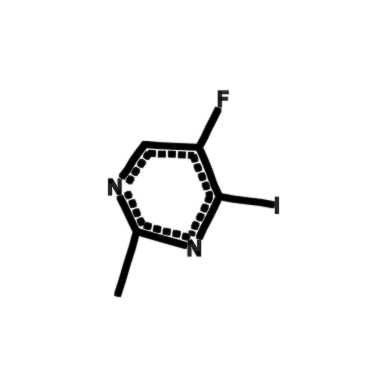 Cc1ncc(F)c(I)n1